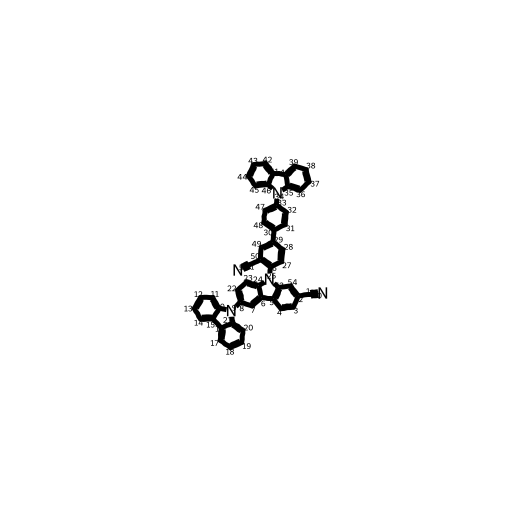 N#Cc1ccc2c3cc(-n4c5ccccc5c5ccccc54)ccc3n(-c3ccc(-c4ccc(-n5c6ccccc6c6ccccc65)cc4)cc3C#N)c2c1